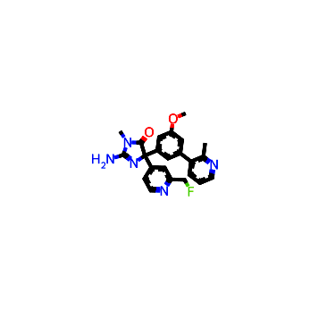 COc1cc(-c2cccnc2C)cc(C2(c3ccnc(CF)c3)N=C(N)N(C)C2=O)c1